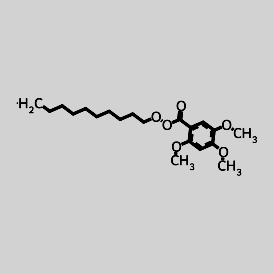 [CH2]CCCCCCCCCOOC(=O)c1cc(OC)c(OC)cc1OC